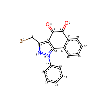 O=C1C(=O)c2c(CBr)nn(-c3ccccc3)c2-c2ccccc21